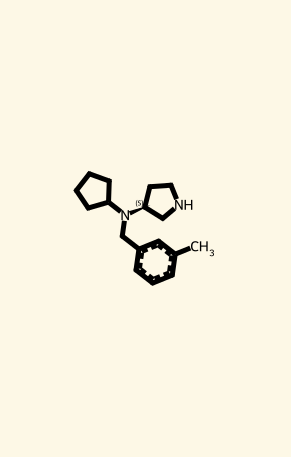 Cc1cccc(CN(C2CCCC2)[C@H]2CCNC2)c1